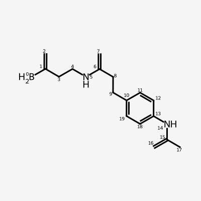 BC(=C)CCNC(=C)CCc1ccc(NC(=C)C)cc1